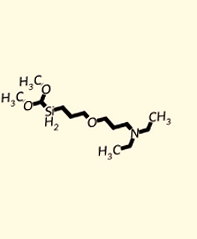 CCN(CC)CCCOCCC[SiH2]C(OC)OC